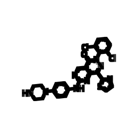 O=c1c2cnc(Nc3ccc(N4CCNCC4)cc3)nc2c(-c2nccs2)nn1-c1c(Cl)cccc1Cl